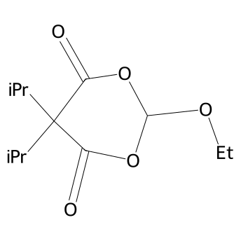 CCOC1OC(=O)C(C(C)C)(C(C)C)C(=O)O1